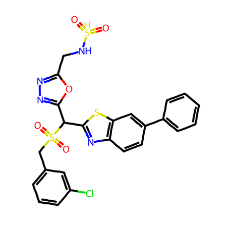 O=[SH](=O)NCc1nnc(C(c2nc3ccc(-c4ccccc4)cc3s2)S(=O)(=O)Cc2cccc(Cl)c2)o1